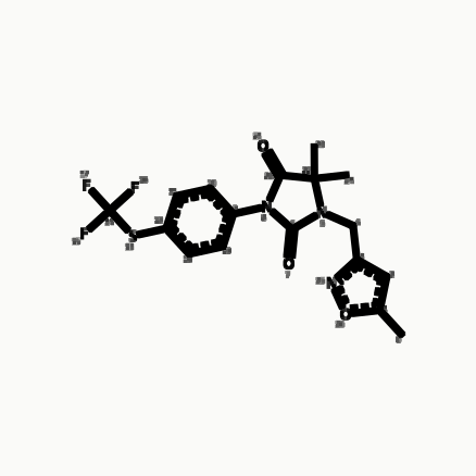 Cc1cc(CN2C(=O)N(c3ccc(SC(F)(F)F)cc3)C(=O)C2(C)C)no1